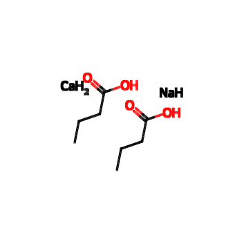 CCCC(=O)O.CCCC(=O)O.[CaH2].[NaH]